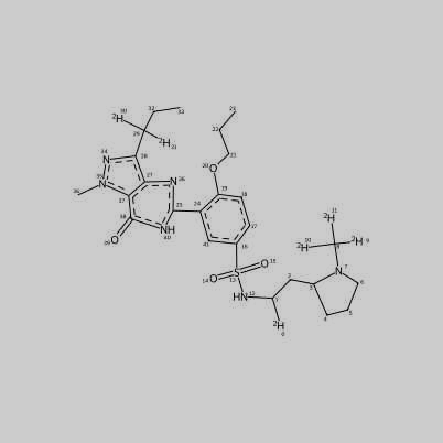 [2H]C(CC1CCCN1C([2H])([2H])[2H])NS(=O)(=O)c1ccc(OCCC)c(-c2nc3c(C([2H])([2H])CC)nn(C)c3c(=O)[nH]2)c1